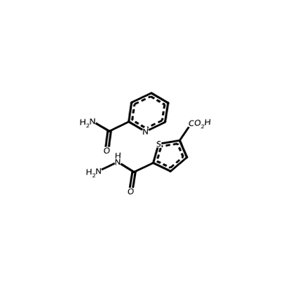 NC(=O)c1ccccn1.NNC(=O)c1ccc(C(=O)O)s1